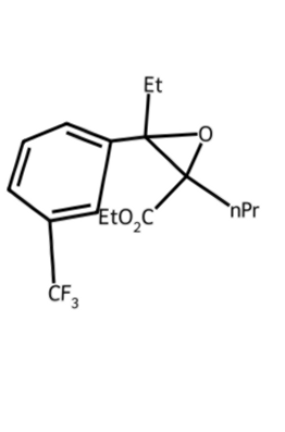 CCCC1(C(=O)OCC)OC1(CC)c1cccc(C(F)(F)F)c1